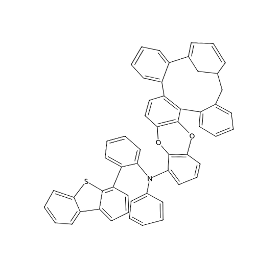 C1=CC2CC(=C1)c1ccccc1-c1ccc3c(c1-c1ccccc1C2)Oc1cccc(N(c2ccccc2)c2ccccc2-c2cccc4c2sc2ccccc24)c1O3